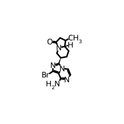 CC1CC(=O)N2C[C@H](c3nc(Br)c4c(N)nccn34)CC[C@@H]12